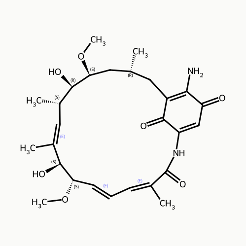 CO[C@H]1/C=C/C=C(\C)C(=O)NC2=CC(=O)C(N)=C(C[C@@H](C)C[C@H](OC)[C@H](O)[C@@H](C)/C=C(\C)[C@@H]1O)C2=O